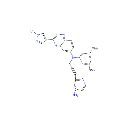 COc1cc(OC)cc(N(CC#Cc2cc(N)ccn2)c2ccc3ncc(-c4cnn(C)c4)nc3c2)c1